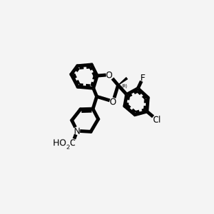 C[C@]1(c2ccc(Cl)cc2F)Oc2ccccc2C(C2=CCN(C(=O)O)CC2)O1